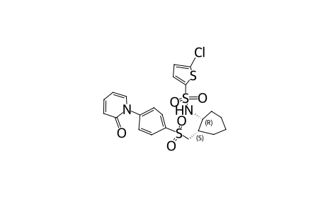 O=c1ccccn1-c1ccc(S(=O)(=O)C[C@H]2CCCC[C@H]2NS(=O)(=O)c2ccc(Cl)s2)cc1